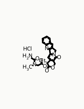 CC[C@@]1(OC(=O)CN(C)C(=O)CN)C(=O)OCc2c1cc1n(c2=O)Cc2cc3ccccc3nc2-1.Cl